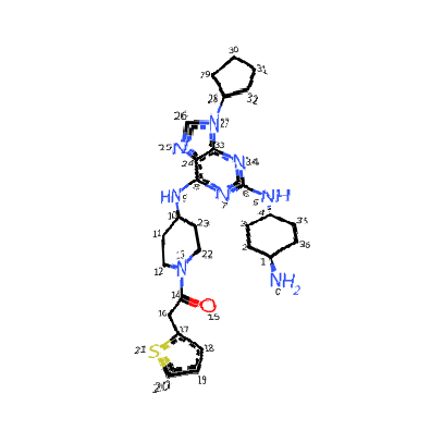 N[C@H]1CC[C@H](Nc2nc(NC3CCN(C(=O)Cc4cccs4)CC3)c3ncn(C4CCCC4)c3n2)CC1